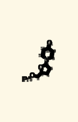 CC(C)OCC1CCC(n2ccc(=O)cc2)O1